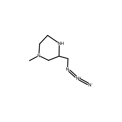 CN1CCNC(CN=[N+]=[N-])C1